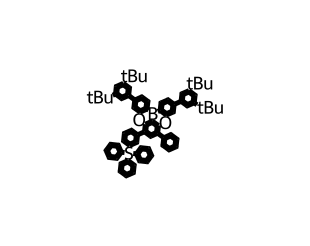 CC(C)(C)c1cc(-c2ccc3c(c2)Oc2c(-c4ccccc4)cc(-c4cccc(S(c5ccccc5)(c5ccccc5)c5ccccc5)c4)c4c2B3c2ccc(-c3cc(C(C)(C)C)cc(C(C)(C)C)c3)cc2O4)cc(C(C)(C)C)c1